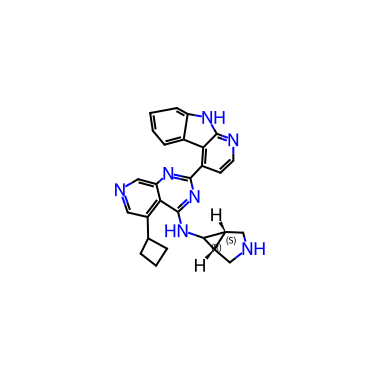 c1ccc2c(c1)[nH]c1nccc(-c3nc(NC4[C@H]5CNC[C@@H]45)c4c(C5CCC5)cncc4n3)c12